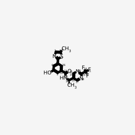 Cc1cnc(-c2cc(O)cc(C(=O)N[C@H](C)c3cnc(C(F)(F)F)nc3)c2)s1